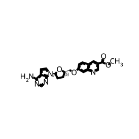 COC(=O)c1cnc2cc(OC[C@@H]3CC[C@H](n4ccc5c(N)ncnc54)O3)ccc2c1